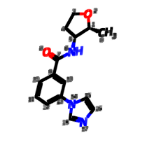 C[C@@H]1OCC[C@@H]1NC(=O)c1cccc(-n2ccnc2)c1